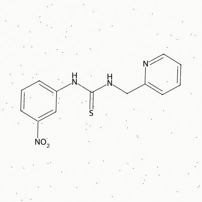 O=[N+]([O-])c1cccc(NC(=S)NCc2ccccn2)c1